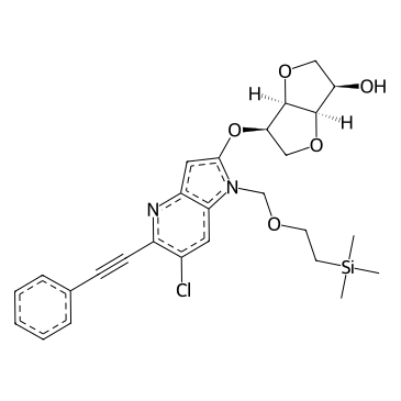 C[Si](C)(C)CCOCn1c(O[C@@H]2CO[C@H]3[C@@H]2OC[C@H]3O)cc2nc(C#Cc3ccccc3)c(Cl)cc21